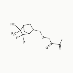 C=C(C)C(=O)COCC1CC2CC1C(F)(F)C2(O)C(F)(F)F